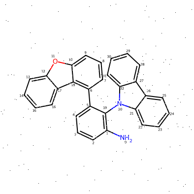 Nc1cccc(-c2cccc3oc4ccccc4c23)c1-n1c2ccccc2c2ccccc21